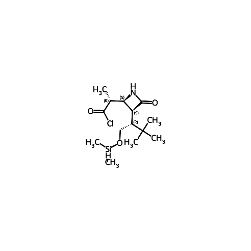 C[C@@H](C(=O)Cl)[C@H]1NC(=O)[C@H]1[C@@H](CO[SiH](C)C)C(C)(C)C